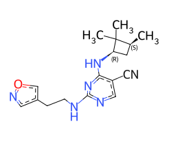 C[C@H]1C[C@@H](Nc2nc(NCCc3cnoc3)ncc2C#N)C1(C)C